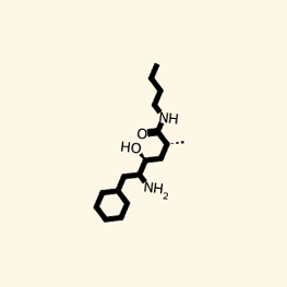 CCCCNC(=O)[C@H](C)C[C@H](O)C(N)CC1CCCCC1